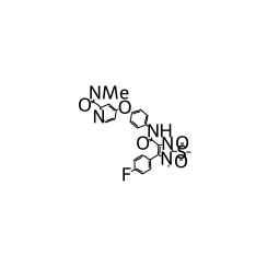 CNC(=O)c1cc(Oc2ccc(NC(=O)c3nc(S(C)(=O)=O)n(C)c3-c3ccc(F)cc3)cc2)ccn1